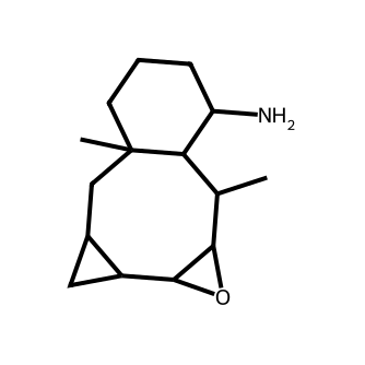 CC1C2OC2C2CC2CC2(C)CCCC(N)C12